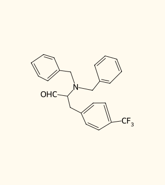 O=CC(Cc1ccc(C(F)(F)F)cc1)N(Cc1ccccc1)Cc1ccccc1